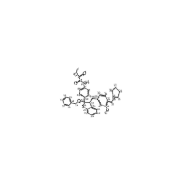 COC(=O)C(=O)Nc1ccc(C2(OCc3ccccc3)Sc3ccccc3C2Cc2ccc(CN3CCCC3)c(OC)c2)cc1